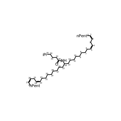 CCCCC/C=C\C/C=C\CCCCCCCCC(CCCCCCCC/C=C\C/C=C\CCCCC)NC(=O)CCCC(C)C